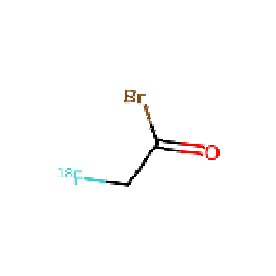 O=C(Br)C[18F]